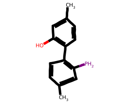 Cc1ccc(-c2ccc(C)cc2P)c(O)c1